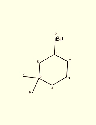 [CH2]CC(C)C1CCCC(C)(C)C1